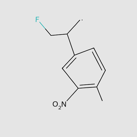 [CH2]C(CF)c1ccc(C)c([N+](=O)[O-])c1